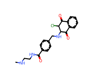 CNCCNC(=O)c1ccc(CNC2C(=O)c3ccccc3C(=O)C2Cl)cc1